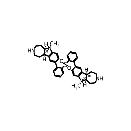 CN1c2ccc(-c3ccccc3S(=O)(=O)c3ccccc3-c3ccc4c(c3)[C@H]3CCNCC[C@H]3N4C)cc2[C@H]2CCNCC[C@H]21